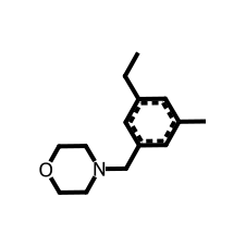 CCc1cc(C)cc(CN2CCOCC2)c1